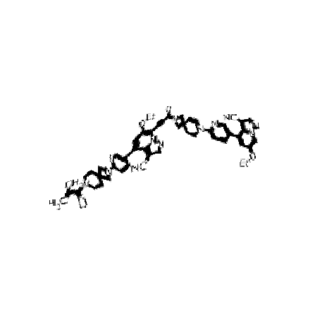 C=C(C)C(=O)N1CCC2(CC1)CN(c1ccc(-c3cc(OCC)c(C#CC(=O)N4CC5(CCN(c6ccc(-c7cc(OCC)cn8ncc(C#N)c78)cn6)CC5)C4)n4ncc(C#N)c34)cn1)C2